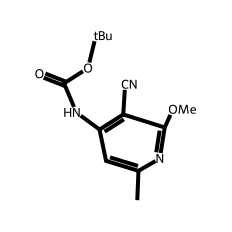 COc1nc(C)cc(NC(=O)OC(C)(C)C)c1C#N